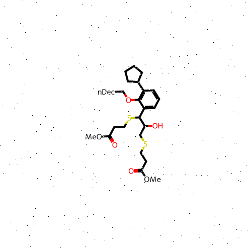 CCCCCCCCCCCOc1c(C2CCCC2)cccc1C(SCCC(=O)OC)C(O)CSCCC(=O)OC